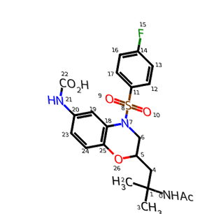 CC(=O)NC(C)(C)CC1CN(S(=O)(=O)c2ccc(F)cc2)c2cc(NC(=O)O)ccc2O1